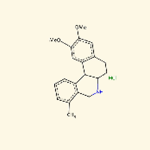 COc1cc2c(cc1OC)C1c3cccc(C)c3CNC1CC2.Cl